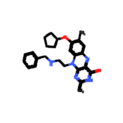 C=c1nc2c(c(=O)[nH]1)=Nc1cc(C)c(OC3CCCC3)cc1N2CCNCc1ccccc1